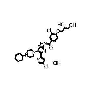 Cl.O=C(Nc1nc(-c2cc(Cl)cs2)c(N2CCN(C3CCCCC3)CC2)s1)c1ccc(OCC(O)CO)c(Cl)c1